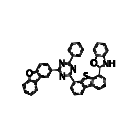 c1ccc(-c2nc(-c3ccc4oc5ccccc5c4c3)nc(-c3cccc4c3sc3c(C5Nc6ccccc6O5)cccc34)n2)cc1